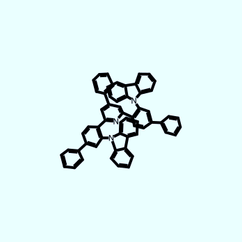 c1ccc(-c2cc(-c3ccc(-c4ccccc4)cc3-n3c4ccccc4c4ccccc43)nc(-c3ccc(-c4ccccc4)cc3-n3c4ccccc4c4ccccc43)c2)cc1